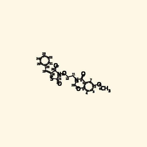 COc1ccc2c(c1)C(=O)N(CCON1C(=O)SC(=Cc3ccccc3)C1=O)CO2